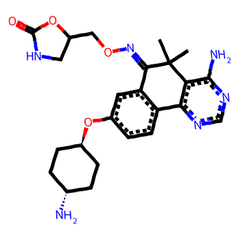 CC1(C)/C(=N/OCC2CNC(=O)O2)c2cc(O[C@H]3CC[C@H](N)CC3)ccc2-c2ncnc(N)c21